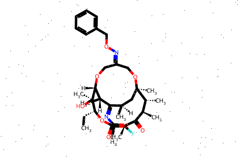 CC[C@H]1OC(=O)[C@@](C)(F)C(=O)[C@H](C)[C@@H](C)[C@@]2(C)C[C@@H](C)/C(=N\C(C)=O)[C@H](C)[C@@H](OC/C(=N\OCc3ccccc3)CO2)[C@]1(C)O